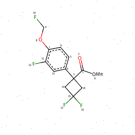 COC(=O)C1(c2ccc(OCF)c(F)c2)CC(F)(F)C1